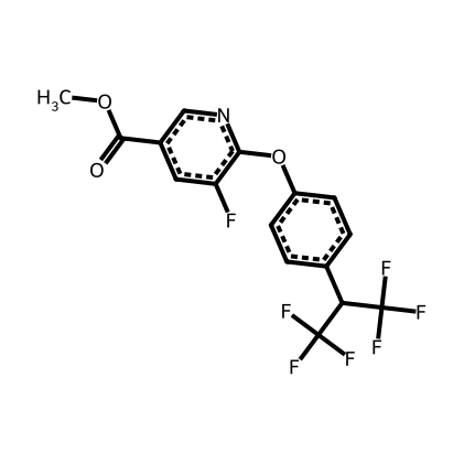 COC(=O)c1cnc(Oc2ccc(C(C(F)(F)F)C(F)(F)F)cc2)c(F)c1